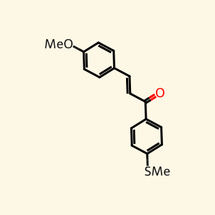 COc1ccc(C=CC(=O)c2ccc(SC)cc2)cc1